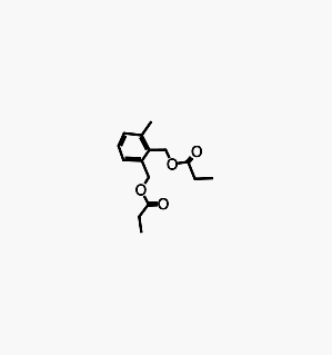 CCC(=O)OCc1cccc(C)c1COC(=O)CC